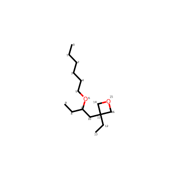 CCCCCCOC(CC)CC1(CC)COC1